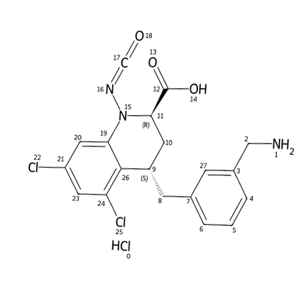 Cl.NCc1cccc(C[C@H]2C[C@H](C(=O)O)N(N=C=O)c3cc(Cl)cc(Cl)c32)c1